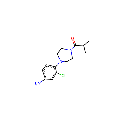 CC(C)C(=O)N1CCN(c2ccc(N)cc2Cl)CC1